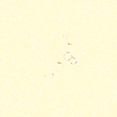 CC(C)(C)OC(=O)N1CC=C(c2cc(NC(=O)C3CC3)nc3[nH]ccc23)CC1